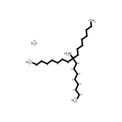 CCCCCCCCC(N)(CCCCCCCC)CCCCCCCC.S